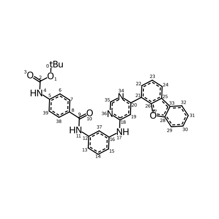 CC(C)(C)OC(=O)Nc1ccc(C(=O)Nc2cccc(Nc3cc(-c4cccc5c4oc4ccccc45)ncn3)c2)cc1